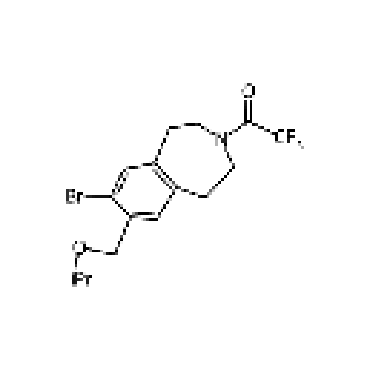 CC(C)OCc1cc2c(cc1Br)CCN(C(=O)C(F)(F)F)CC2